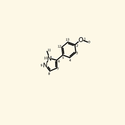 COc1ccc(-c2ccnn2C)cc1